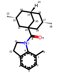 Cc1cccc2c1N(C(=O)C13C[C@H](C)C[C@H](C[C@H](C)C1)C3)CC2